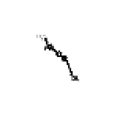 CCCCCCCCCCc1ccc(C2CCC(C#Cc3ccc(CCCCC)c(F)c3)CC2)cc1